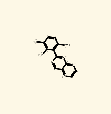 Nc1ccc(C(=O)O)c(-c2ncc3nccnc3n2)c1N